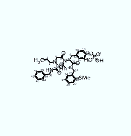 C=CCN1CC(=O)N2[C@@H](Cc3ccc(OP(=O)(O)O)cc3)C(=O)N(Cc3ccccc3SC)C[C@@H]2N1C(=O)NCc1ccccc1